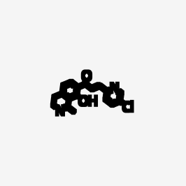 CC1=NCCc2ccc(C(=O)C=Cc3ccc(Cl)cn3)c(O)c21